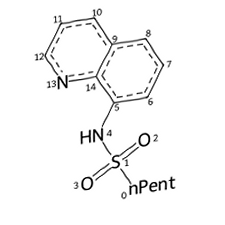 CCCCCS(=O)(=O)Nc1cccc2cccnc12